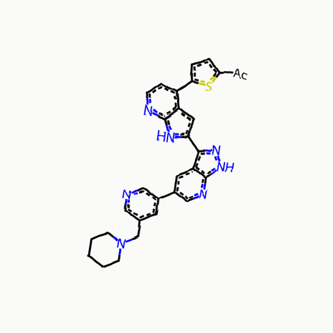 CC(=O)c1ccc(-c2ccnc3[nH]c(-c4n[nH]c5ncc(-c6cncc(CN7CCCCC7)c6)cc45)cc23)s1